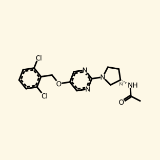 CC(=O)N[C@H]1CCN(c2ncc(OCc3c(Cl)cccc3Cl)cn2)C1